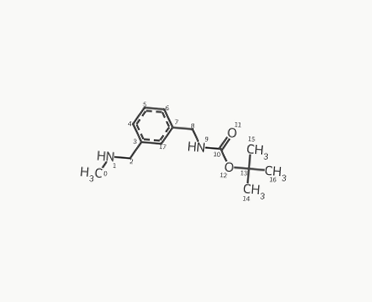 CNCc1cccc(CNC(=O)OC(C)(C)C)c1